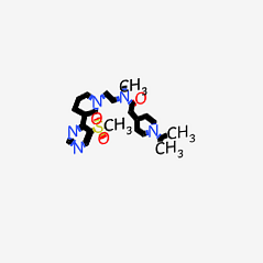 CC(C)N1CCC(CC(=O)N(C)CCN2CCCC(c3ncncc3S(C)(=O)=O)C2)CC1